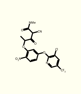 CNC(=O)C(C#N)C(=O)C(C)Oc1cc(Oc2ncc(C(F)(F)F)cc2Cl)ccc1[N+](=O)[O-]